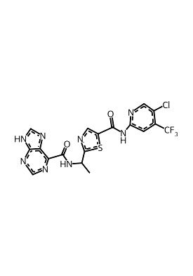 CC(NC(=O)c1ncnc2[nH]cnc12)c1ncc(C(=O)Nc2cc(C(F)(F)F)c(Cl)cn2)s1